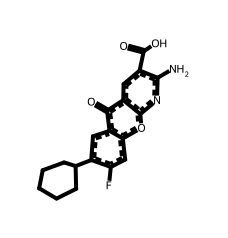 Nc1nc2oc3cc(F)c(C4CCCCC4)cc3c(=O)c2cc1C(=O)O